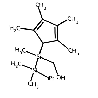 CC1=C(C)C([Si](C)(CO)[Si](C)(C)C(C)C)C(C)=C1C